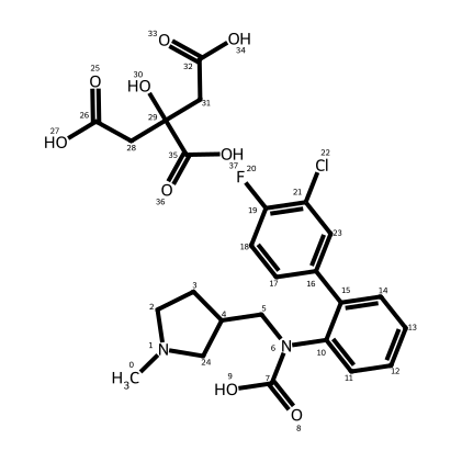 CN1CCC(CN(C(=O)O)c2ccccc2-c2ccc(F)c(Cl)c2)C1.O=C(O)CC(O)(CC(=O)O)C(=O)O